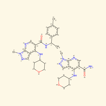 CCn1ncc2c(NC3CCOCC3)c(C(=O)NC(C)c3ccc(C(F)(F)F)cc3)cnc21.CCn1ncc2c(NC3CCOCC3)c(C(N)=O)cnc21